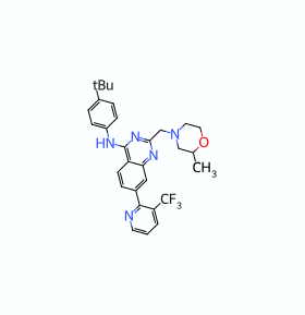 CC1CN(Cc2nc(Nc3ccc(C(C)(C)C)cc3)c3ccc(-c4ncccc4C(F)(F)F)cc3n2)CCO1